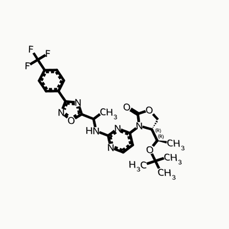 CC(Nc1nccc(N2C(=O)OC[C@@H]2[C@@H](C)OC(C)(C)C)n1)c1nc(-c2ccc(C(F)(F)F)cc2)no1